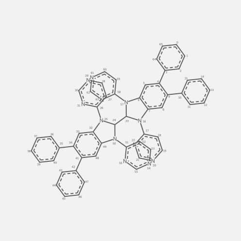 c1ccc(-c2cc3c(cc2-c2ccccc2)N(c2ccncn2)C(C2N(c4ccncn4)c4cc(-c5ccccc5)c(-c5ccccc5)cc4N2c2ccncn2)N3c2ccncn2)cc1